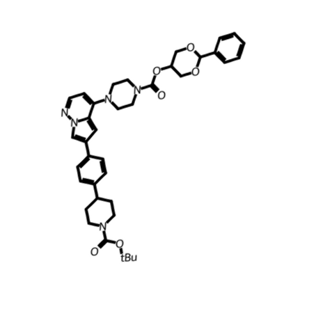 CC(C)(C)OC(=O)N1CCC(c2ccc(-c3cc4c(N5CCN(C(=O)OC6COC(c7ccccc7)OC6)CC5)ccnn4c3)cc2)CC1